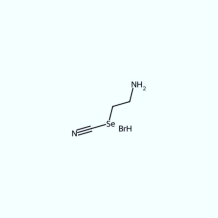 Br.N#C[Se]CCN